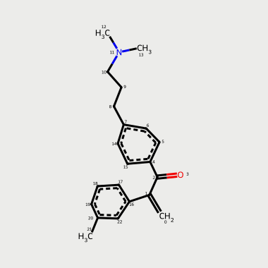 C=C(C(=O)c1ccc(CCCN(C)C)cc1)c1cccc(C)c1